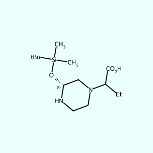 CCC(C(=O)O)N1CCN[C@H](O[Si](C)(C)C(C)(C)C)C1